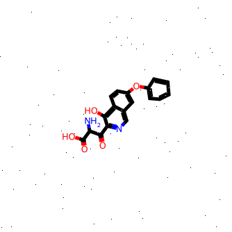 NC(C(=O)O)C(=O)c1ncc2cc(Oc3ccccc3)ccc2c1O